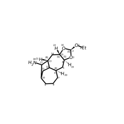 CCO[C@H]1O[C@H]2C[C@H]3CCCC4CC3[C@@H](C[C@@H]2O1)C4N